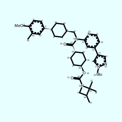 COc1ccc([C@H]2CC[C@H](CN(c3cc(-c4cnn(C(C)(C)C)c4)ccn3)C(=O)[C@H]3CC[C@H](OC(=O)N4CC(C)C4(C)C)CC3)CC2)cc1C